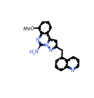 COc1cccc2c1nc(N)n1nc(Cc3cccc4ncccc34)cc21